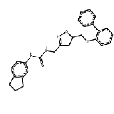 O=C(NCC1=NOC(COc2ccccc2-c2ccccc2)C1)Nc1ccc2c(c1)CCC2